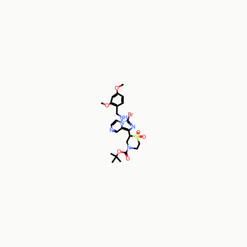 COc1ccc(CN[N+]23C=CN=CC2=C(C2CN(C(=O)OC(C)(C)C)CCS2(=O)=O)N=C3Br)c(OC)c1